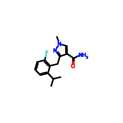 CC(C)c1cccc(F)c1Cc1nn(C)cc1C(N)=O